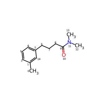 Cc1cccc(CCCC(=O)N(C)C)c1